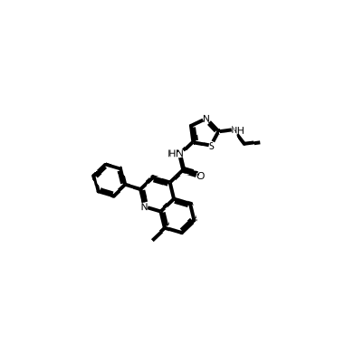 CCNc1ncc(NC(=O)c2cc(-c3ccccc3)nc3c(C)cccc23)s1